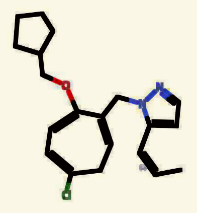 C/C=C\c1ccnn1CC1=CCC(Cl)=CC=C1OCC1CCCC1